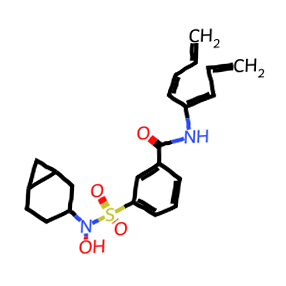 C=C/C=C\C(=C/C=C)NC(=O)c1cccc(S(=O)(=O)N(O)C2CCC3CC3C2)c1